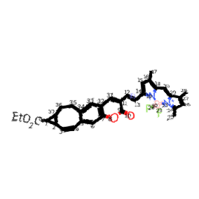 CCOC(=O)C1C2C#Cc3cc4oc(=O)c(/C=C/c5cc(C)c6n5[B-](F)(F)[N+]5=C(C)C=C(C)C5=C6)cc4cc3CCC21